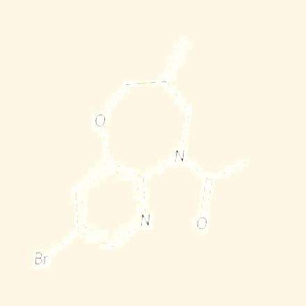 C=C1COc2cc(Br)cnc2N(C(C)=O)C1